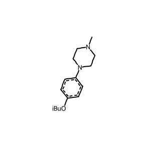 CC(C)COc1ccc(N2CCN(C)CC2)cc1